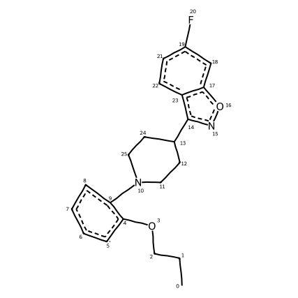 CCCOc1[c]cccc1N1CCC(c2noc3cc(F)ccc23)CC1